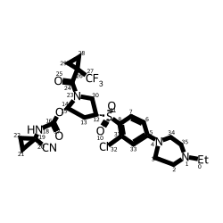 CCN1CCN(c2ccc(S(=O)(=O)[C@@H]3C[C@H](OC(=O)NC4(C#N)CC4)N(C(=O)C4(C(F)(F)F)CC4)C3)c(Cl)c2)CC1